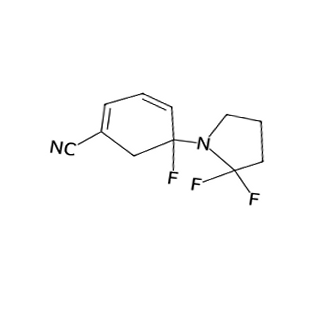 N#CC1=CC=CC(F)(N2CCCC2(F)F)C1